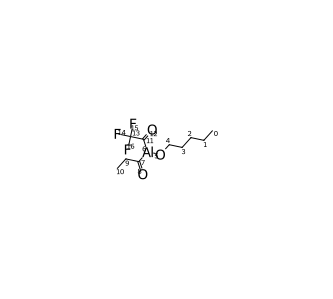 CCCCC[O][Al]([C](=O)CC)[C](=O)C(F)(F)F